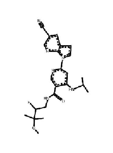 COC(C)(C)C(F)CNC(=O)c1cnc(-n2ccc3cc(C#N)cnc32)cc1NC(C)C